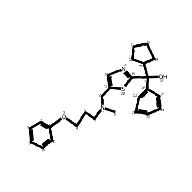 CN(CCCOc1ccccc1)Cc1cnc(C(O)(c2ccccc2)C2CCCC2)s1